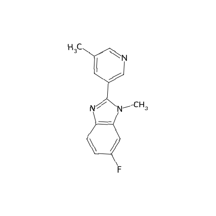 Cc1cncc(-c2nc3ccc(F)cc3n2C)c1